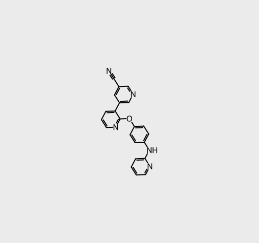 N#Cc1cncc(-c2cccnc2Oc2ccc(Nc3ccccn3)cc2)c1